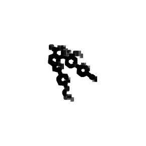 CCOc1ccc(-c2cc3ccc(C(N)=O)c(N[C@@H]4CCN(c5ccc(C#N)nn5)CC4(C)C)n3n2)cn1